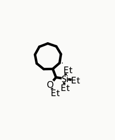 CCOC(C1[CH]CCCCCCC1)[Si](CC)(CC)CC